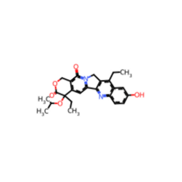 CCc1c2c(nc3ccc(O)cc13)-c1cc3c(c(=O)n1C2)COC(=O)C3(CC)OC(C)C